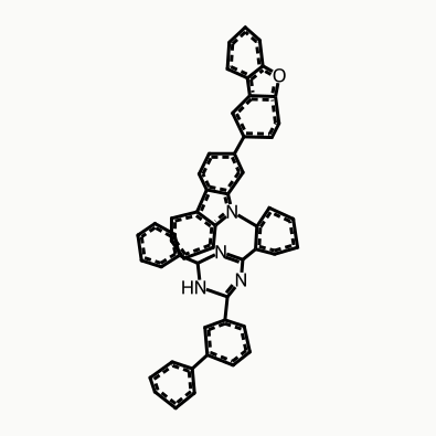 c1ccc(-c2cccc(C3=NC(c4ccccc4-n4c5ccccc5c5ccc(-c6ccc7oc8ccccc8c7c6)cc54)=NC(c4ccccc4)N3)c2)cc1